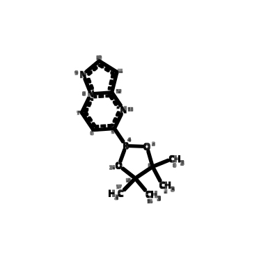 CC1(C)OB(c2ccn3nccc3n2)OC1(C)C